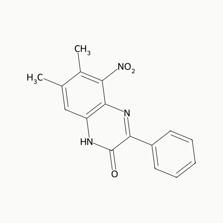 Cc1cc2[nH]c(=O)c(-c3ccccc3)nc2c([N+](=O)[O-])c1C